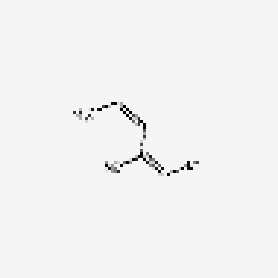 C/C=C\C(C#N)=C/CC